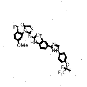 COc1ccc(C(C)C)c(N2C(=O)CS/C2=N\C(=O)Nc2ccc(-c3ncn(-c4ccc(OC(F)(F)C(F)(F)F)cc4)n3)cc2F)c1